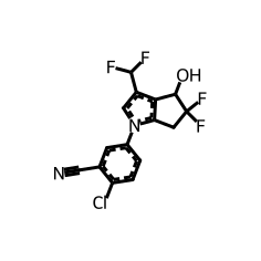 N#Cc1cc(-n2cc(C(F)F)c3c2CC(F)(F)C3O)ccc1Cl